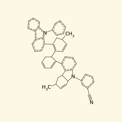 CC1C=CC(C2CC=CC=C2c2cccc3c2C2CC(C)C=CC2N3c2cccc(C#N)c2)=C(c2cccc3c4ccccc4n(-c4ccccc4)c23)C1